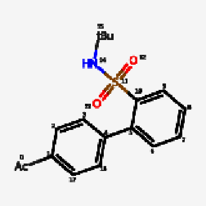 CC(=O)c1ccc(-c2ccccc2S(=O)(=O)NC(C)(C)C)cc1